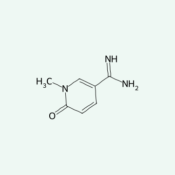 Cn1cc(C(=N)N)ccc1=O